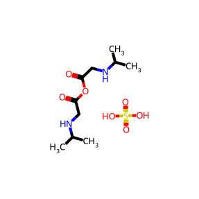 CC(C)NCC(=O)OC(=O)CNC(C)C.O=S(=O)(O)O